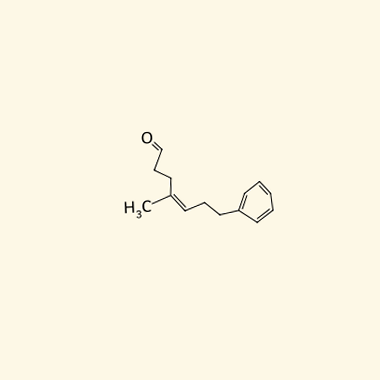 CC(=CCCc1ccccc1)CCC=O